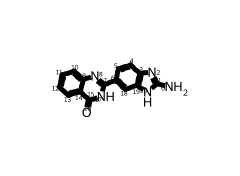 Nc1nc2ccc(-c3nc4ccccc4c(=O)[nH]3)cc2[nH]1